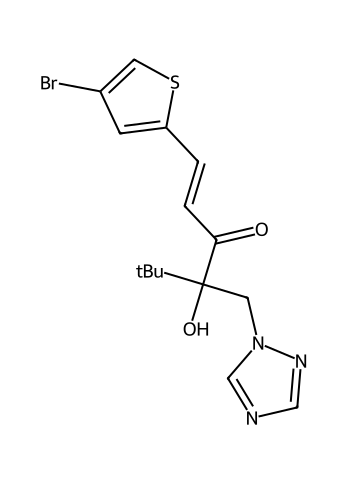 CC(C)(C)C(O)(Cn1cncn1)C(=O)C=Cc1cc(Br)cs1